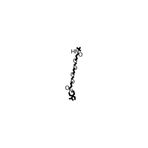 CCC1(C(C)C)CCN(C(=O)CCOCCOCCOCCOCCC(=O)NC(C)(C)C)CC1